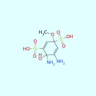 COC1(S(=O)(=O)O)C=C(N)C(N)(O)C(S(=O)(=O)O)=C1